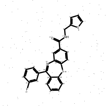 O=C(NCc1cccs1)c1ccc2c(c1)N=C(c1cccc(F)c1)c1ccccc1S2